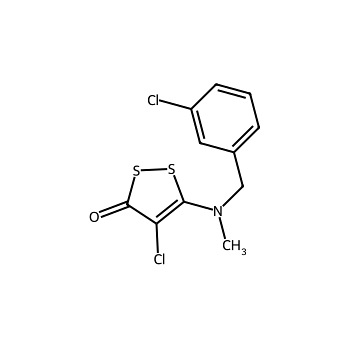 CN(Cc1cccc(Cl)c1)c1ssc(=O)c1Cl